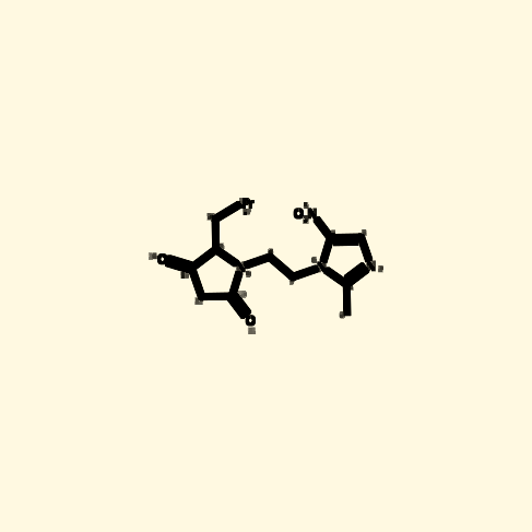 Cc1ncc([N+](=O)[O-])n1CCN1C(=O)CC(=O)C1CC(C)C